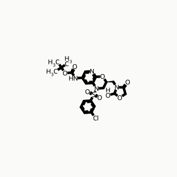 CC(C)(C)OC(=O)Nc1cnc2c(c1)N(S(=O)(=O)c1cccc(Cl)c1)C[C@H](CN1C(=O)COC1O)O2